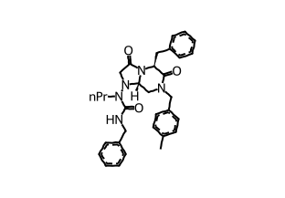 CCCN(C(=O)NCc1ccccc1)N1CC(=O)N2[C@@H](Cc3ccccc3)C(=O)N(Cc3ccc(C)cc3)C[C@@H]21